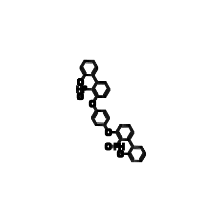 O=[PH]1Oc2ccccc2-c2cccc(Oc3ccc(Oc4cccc5c4[PH](=O)Oc4ccccc4-5)cc3)c21